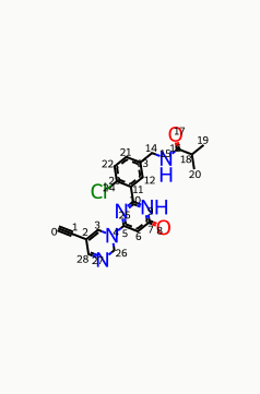 C#CC1=CN(c2cc(=O)[nH]c(-c3cc(CNC(=O)C(C)C)ccc3Cl)n2)CN=C1